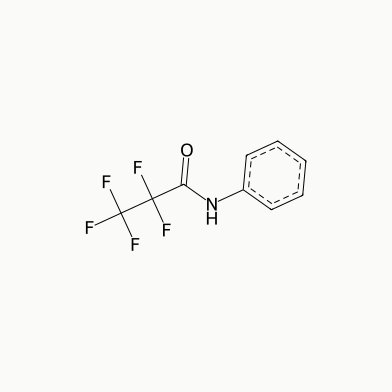 O=C(Nc1ccccc1)C(F)(F)C(F)(F)F